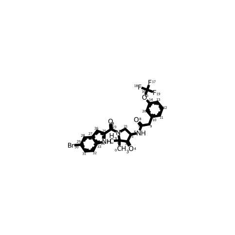 CC1(C)C(=O)C(NC(=O)Cc2cccc(OC(F)(F)F)c2)CN1C(=O)c1cc2cc(Br)ccc2[nH]1